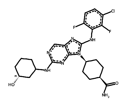 NC(=O)[C@H]1CC[C@@H](n2c(Nc3c(F)ccc(Cl)c3F)nc3cnc(NC4CCC[C@@H](O)C4)nc32)CC1